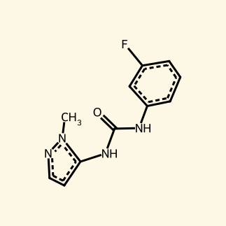 Cn1nccc1NC(=O)Nc1cccc(F)c1